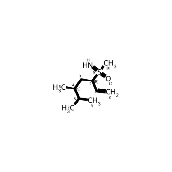 C=C[C@@H](C[C@H](C)C(C)C)S(C)(=N)=O